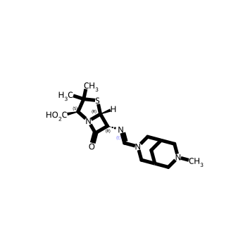 CN1CC2CC(C1)CN(/C=N/[C@@H]1C(=O)N3[C@@H]1SC(C)(C)[C@@H]3C(=O)O)C2